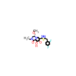 CCN1C[C@H](COC)n2cc(-c3nnc(Cc4ccc(F)cc4F)s3)c(=O)c(O)c2C1=O